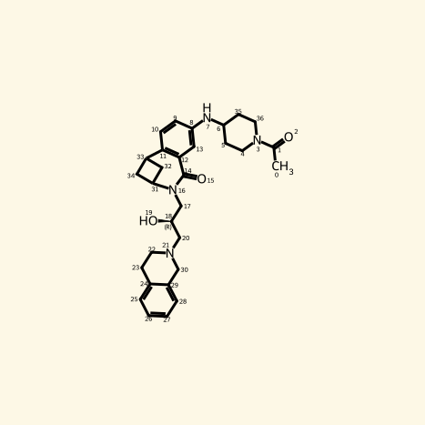 CC(=O)N1CCC(Nc2ccc3c(c2)C(=O)N(C[C@H](O)CN2CCc4ccccc4C2)C2CC3C2)CC1